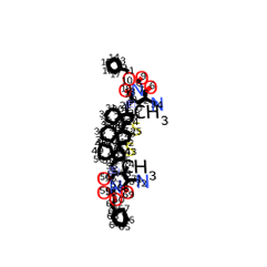 CC1=C(C#N)C(=O)N(C(=O)OCc2ccccc2)C(=O)/C1=C/C1=Cc2sc3c(c2C12CCCCC2)C1(CCCCC1)c1c-3sc2c1C1(CCCCC1)C(/C=C1/C(=O)N(C(=O)OCc3ccccc3)C(=O)C(C#N)=C1C)=C2